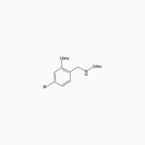 CONCc1ccc(Br)cc1OC